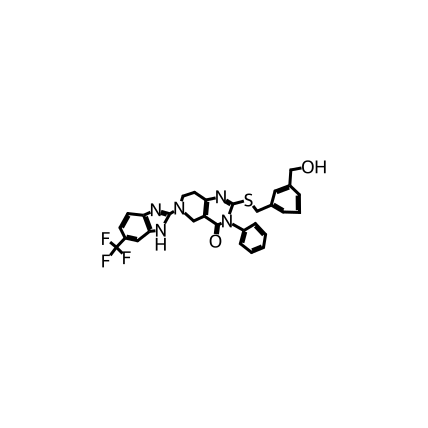 O=c1c2c(nc(SCc3cccc(CO)c3)n1-c1ccccc1)CCN(c1nc3ccc(C(F)(F)F)cc3[nH]1)C2